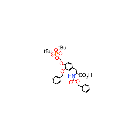 CC(C)(C)OP(=O)(OCOc1ccc(CC(NC(=O)OCc2ccccc2)C(=O)O)cc1OCc1ccccc1)OC(C)(C)C